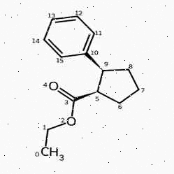 CCOC(=O)[C@@H]1CCC[C@@H]1c1ccccc1